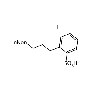 CCCCCCCCCCCCc1ccccc1S(=O)(=O)O.[Ti]